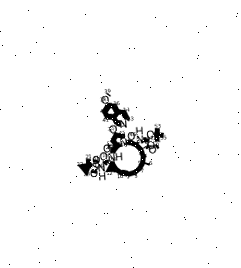 COC[C@@H]1C[C@@H](C)CC/C=C\C2C[C@@]2(C(=O)NS(=O)(=O)C2(C)CC2)NC(=O)[C@@H]2C[C@@H](Oc3nccc4cc(OC)ccc34)CN2C(=O)[C@H]1NC(=O)OC(C)(C)C